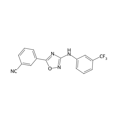 N#Cc1cccc(-c2nc(Nc3cccc(C(F)(F)F)c3)no2)c1